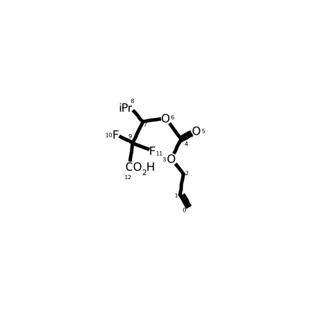 C=CCOC(=O)OC(C(C)C)C(F)(F)C(=O)O